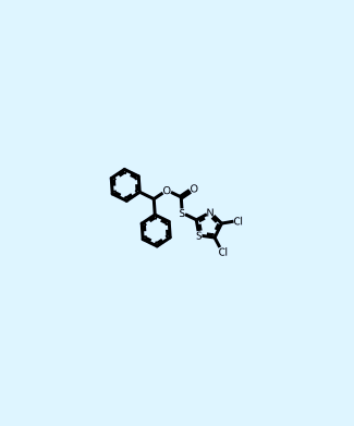 O=C(OC(c1ccccc1)c1ccccc1)Sc1nc(Cl)c(Cl)s1